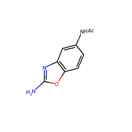 CC(=O)Nc1ccc2oc(N)nc2c1